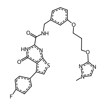 Cn1cnc(OCCCOc2cccc(CNC(=O)c3nc4scc(-c5ccc(F)cc5)c4c(=O)[nH]3)c2)n1